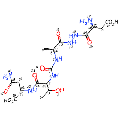 CC(O)[C@H](NC(=O)N[C@@H](C)C(=O)NNC(=O)[C@@H](N)CC(=O)O)C(=O)N[C@@H](CC(N)=O)C(=O)O